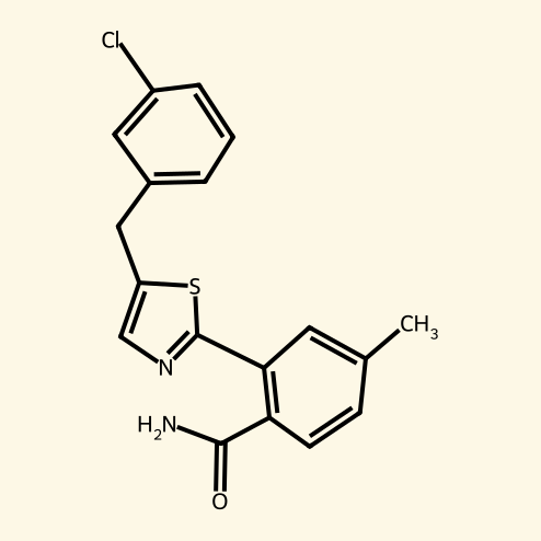 Cc1ccc(C(N)=O)c(-c2ncc(Cc3cccc(Cl)c3)s2)c1